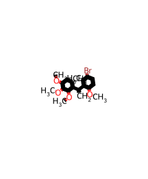 C=C(c1c(OC)ccc(Br)c1C)c1c(C)cc(OC)c(OC)c1OC